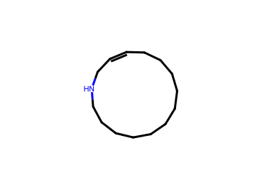 C1=C\CNCCCCCCCCCCC/1